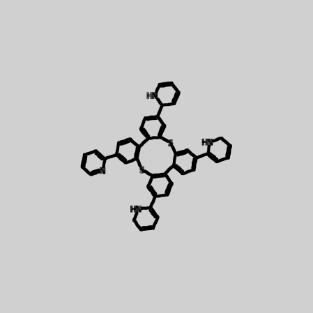 C1=CCNC(c2ccc3c(c2)Sc2cc(-c4ccccn4)ccc2-c2ccc(C4C=CC=CN4)cc2Sc2cc(C4=CC=CCN4)ccc2-3)=C1